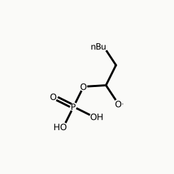 CCCCCC([O])OP(=O)(O)O